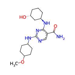 COC1CCC(Nc2ncc(C(N)=O)c(N[C@@H]3CCC[C@@H](O)C3)n2)CC1